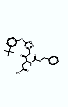 CC(C)(C)c1cccc(Oc2nnn(CC(=O)C(CC(=O)O)NC(=O)OCc3ccccc3)n2)c1